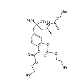 CC(C)CCOC(=O)Oc1ccc(CC(N)(C[C@H](C)OC(=O)OCC(C)(C)C)C(=O)O)cc1OC(=O)OCCC(C)C